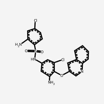 Nc1cc(Cl)ccc1S(=O)(=O)Nc1cc(N)c(Oc2cnc3ccccc3c2)c(Cl)c1